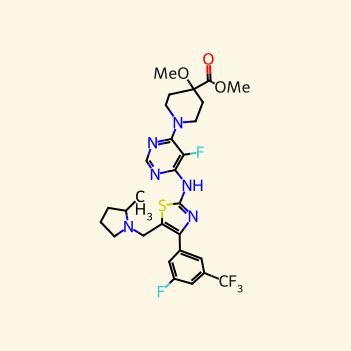 COC(=O)C1(OC)CCN(c2ncnc(Nc3nc(-c4cc(F)cc(C(F)(F)F)c4)c(CN4CCCC4C)s3)c2F)CC1